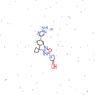 Nc1ncc(-c2ccc(C3(c4noc(N5CC[C@H](O)C5)n4)CCC3)cc2)cn1